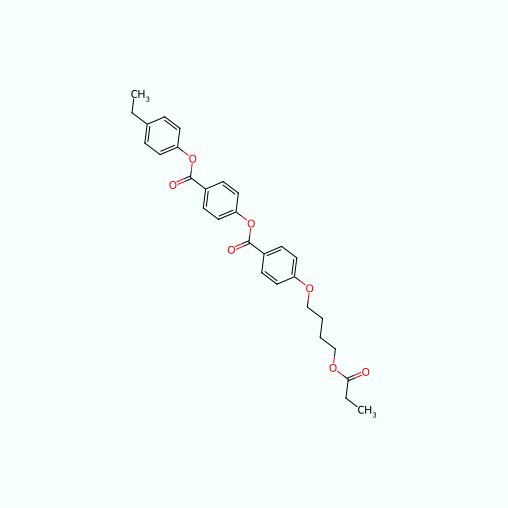 CCC(=O)OCCCCOc1ccc(C(=O)Oc2ccc(C(=O)Oc3ccc(CC)cc3)cc2)cc1